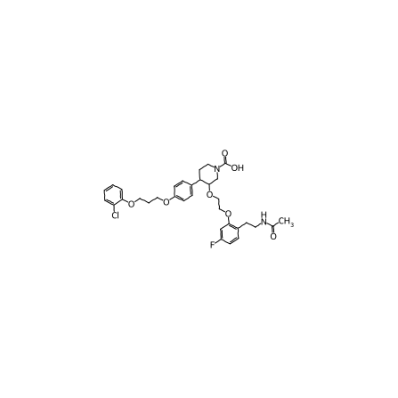 CC(=O)NCCc1ccc(F)cc1OCCOC1CN(C(=O)O)CCC1c1ccc(OCCCOc2ccccc2Cl)cc1